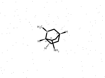 CN1C[C@@H]2CC[C@H]1[C@H](N)C2